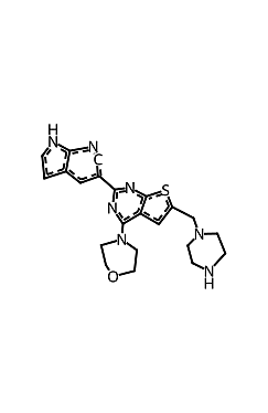 c1cc2cc(-c3nc(N4CCOCC4)c4cc(CN5CCNCC5)sc4n3)cnc2[nH]1